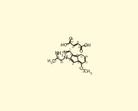 COC1=C2C=c3c(cnn3CC(C)N)=C2CC=C1.O=C(O)C=CC(=O)O